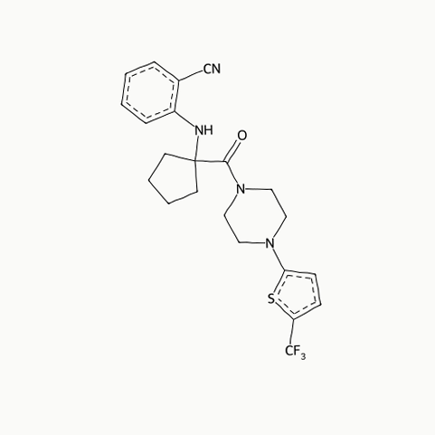 N#Cc1ccccc1NC1(C(=O)N2CCN(c3ccc(C(F)(F)F)s3)CC2)CCCC1